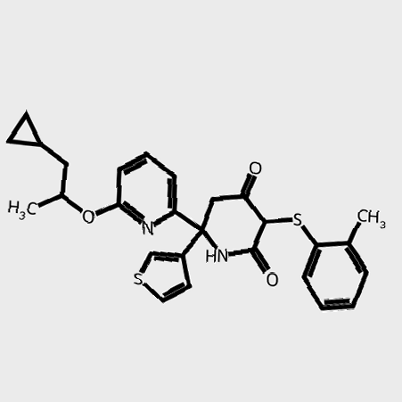 Cc1ccccc1SC1C(=O)CC(c2ccsc2)(c2cccc(OC(C)CC3CC3)n2)NC1=O